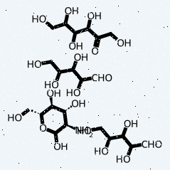 N[C@H]1C(O)O[C@H](CO)[C@@H](O)[C@@H]1O.O=C(CO)C(O)C(O)C(O)CO.O=CC(O)C(O)C(O)CO.O=CC(O)C(O)C(O)CO